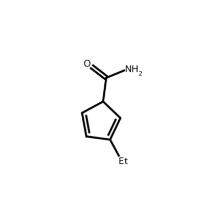 CCC1=CC(C(N)=O)C=C1